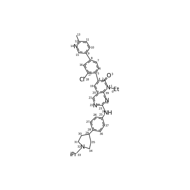 CCn1c(=O)c(-c2ccc(-c3ccc(C)nc3)cc2Cl)cc2cnc(Nc3ccc(C4CCN(C(C)C)CC4)cc3)nc21